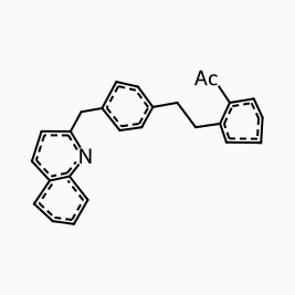 CC(=O)c1ccccc1CCc1ccc(Cc2ccc3ccccc3n2)cc1